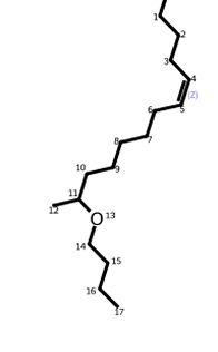 CCCC/C=C\CCCCCC(C)OCCCC